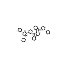 c1ccc(-c2cccc(-n3c4ccccc4c4c3ccc3c5ccccc5n(-c5cccc(-c6nc(-c7ccccc7)cc(-c7ccccc7)n6)c5)c34)c2)cc1